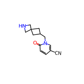 N#Cc1ccc(=O)n(CC2CC3(CNC3)C2)c1